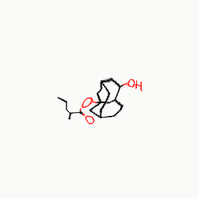 CCC(C)C(=O)OC12CC3CCC1C(O)CC(C3)C2